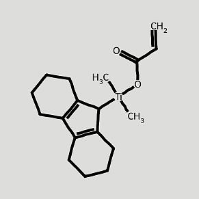 C=CC(=O)[O][Ti]([CH3])([CH3])[CH]1C2=C(CCCC2)C2=C1CCCC2